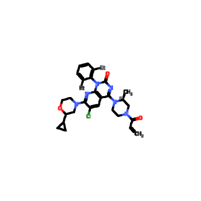 C=CC(=O)N1CCN(c2nc(=O)n(-c3c(CC)cccc3CC)c3nc(N4CCOC(C5CC5)C4)c(Cl)cc23)[C@@H](C)C1